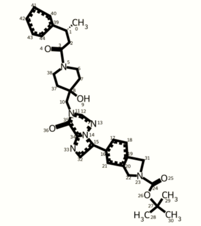 C[C@H](CC(=O)N1CCC(O)(Cn2cnn3c(-c4ccc5c(c4)CN(C(=O)OC(C)(C)C)C5)cnc3c2=O)CC1)c1ccccc1